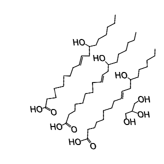 CCCCCCC(O)CC=CCCCCCCCC(=O)O.CCCCCCC(O)CC=CCCCCCCCC(=O)O.CCCCCCC(O)CC=CCCCCCCCC(=O)O.OCC(O)CO